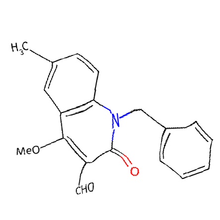 COc1c(C=O)c(=O)n(Cc2ccccc2)c2ccc(C)cc12